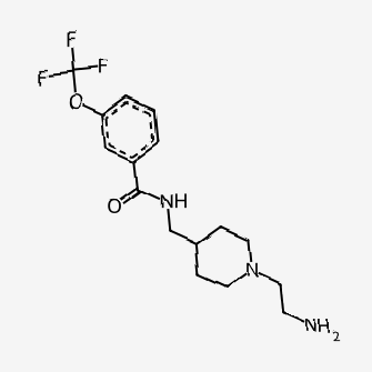 NCCN1CCC(CNC(=O)c2cccc(OC(F)(F)F)c2)CC1